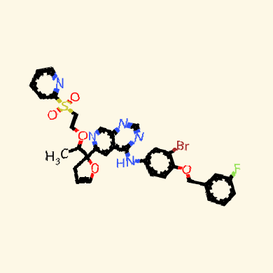 CC(OCCS(=O)(=O)c1ccccn1)C1(c2cc3c(Nc4ccc(OCc5cccc(F)c5)c(Br)c4)ncnc3cn2)CC=CO1